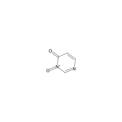 O=C1C=CN=C[N+]1=O